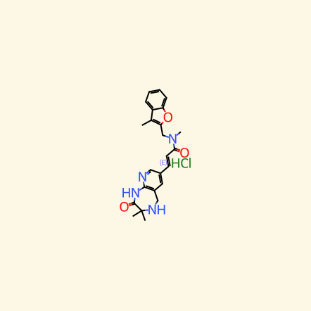 Cc1c(CN(C)C(=O)/C=C/c2cnc3c(c2)CNC(C)(C)C(=O)N3)oc2ccccc12.Cl